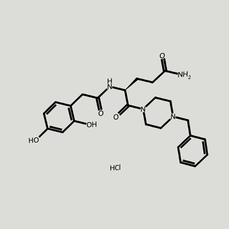 Cl.NC(=O)CC[C@H](NC(=O)Cc1ccc(O)cc1O)C(=O)N1CCN(Cc2ccccc2)CC1